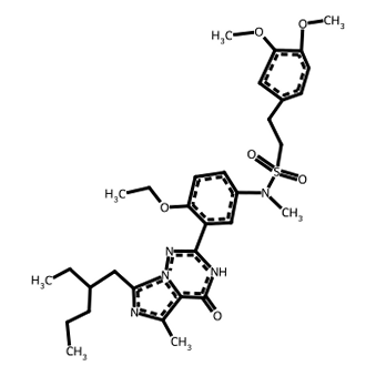 CCCC(CC)Cc1nc(C)c2c(=O)[nH]c(-c3cc(N(C)S(=O)(=O)CCc4ccc(OC)c(OC)c4)ccc3OCC)nn12